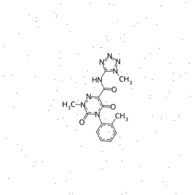 Cc1ccccc1-n1c(=O)c(C(=O)Nc2nnnn2C)nn(C)c1=O